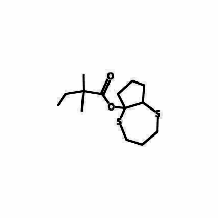 CCC(C)(C)C(=O)OC12CCCC1SCCCS2